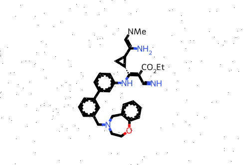 CCOC(=O)/C(C=N)=C(/Nc1cccc(-c2cccc(CN3CCOc4ccccc4C3)c2)c1)[C@@H]1CC1/C(N)=C/NC